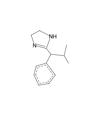 CC(C)C(C1=NCCN1)c1ccccc1